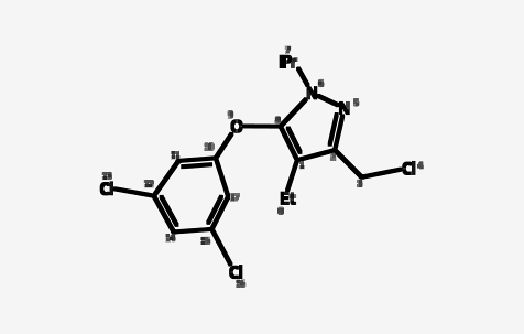 CCc1c(CCl)nn(C(C)C)c1Oc1cc(Cl)cc(Cl)c1